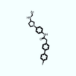 CC(=O)CNC1CCN(c2ccc(NC(=O)Cc3ccc(-c4ccc(F)cc4)cc3)cc2)C1